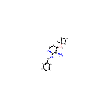 CC1(Oc2ccnc(NCc3ccccc3)c2N)CCC1